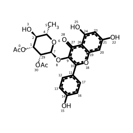 CC(=O)O[C@@H]1[C@@H](O)[C@H](C)O[C@@H](Oc2c(-c3ccc(O)cc3)oc3cc(O)cc(O)c3c2=O)[C@@H]1OC(C)=O